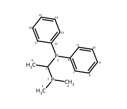 CC(P(C)C)P(c1ccccc1)c1ccccc1